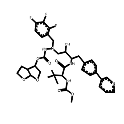 COC(=O)NC(C(=O)NC(Cc1ccc(-c2cccnc2)cc1)C(O)CN(Cc1ccc(F)c(F)c1F)NC(=O)OC1COC2OCCC12)C(C)(C)C